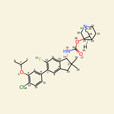 CC(C)Oc1cc(-c2cc3c(cc2F)[C@H](NC(=O)O[C@H]2CN4CCC2CC4)C(C)(C)C3)ccc1Cl